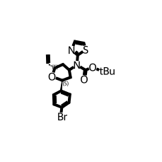 C=C[C@@H]1CC(N(C(=O)OC(C)(C)C)c2nccs2)C[C@@H](c2ccc(Br)cc2)O1